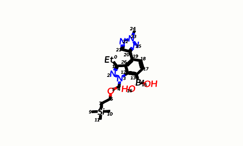 CCc1nn(COCC[Si](C)(C)C)c2c(B(O)O)ccc(-c3cnn(C)n3)c12